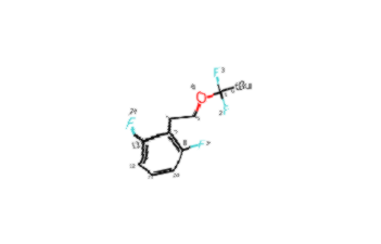 CC(C)(C)C(F)(F)OCCc1c(F)cccc1F